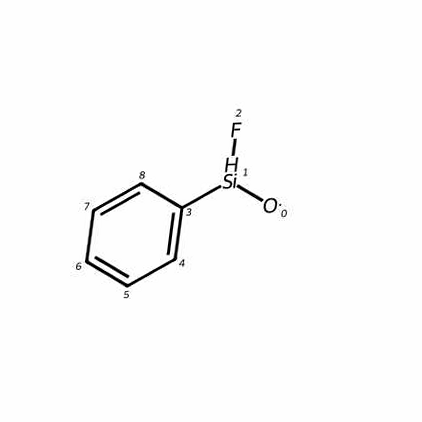 [O][SiH](F)c1ccccc1